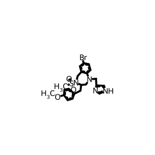 COc1ccc(CC2CN(Cc3c[nH]cn3)c3ccc(Br)cc3CN2S(C)(=O)=O)cc1